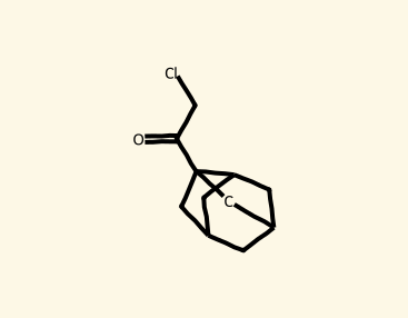 O=C(CCl)C12CC3CC(CC1C3)C2